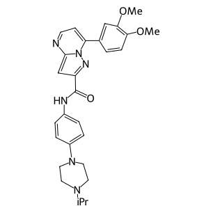 COc1ccc(-c2ccnc3cc(C(=O)Nc4ccc(N5CCN(C(C)C)CC5)cc4)nn23)cc1OC